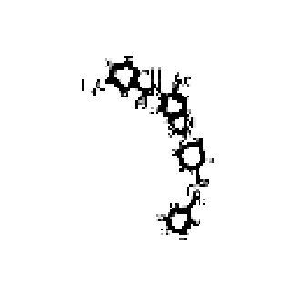 CC(=O)c1cc2nc([C@H]3CC[C@H](COCc4ccccc4)CC3)sc2cc1NC(=O)c1cccc(C(F)(F)F)c1